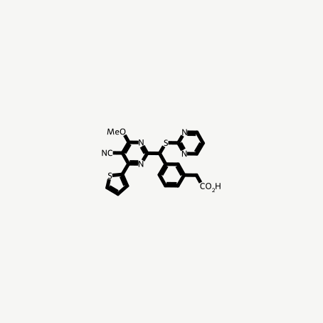 COc1nc(C(Sc2ncccn2)c2cccc(CC(=O)O)c2)nc(-c2cccs2)c1C#N